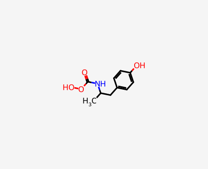 CC(Cc1ccc(O)cc1)NC(=O)OO